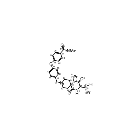 CCCN1C(=O)[C@@H]([C@H](O)C(C)C)NC(=O)C12CCN(Cc1ccc(Oc3ccc(C(=O)NC)cc3)cc1)CC2